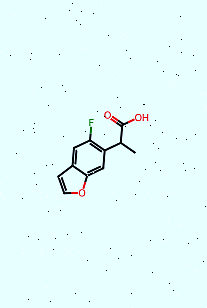 CC(C(=O)O)c1cc2occc2cc1F